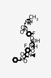 Cc1cn(C[C@H]2CN(c3ccc(OC[C@]4(O)C[C@H]5COc6c(c(F)cc7c(=O)c(C(=O)OCc8ccccc8)cn(C8CC8)c67)N5C4)c(F)c3)C(=O)O2)nn1